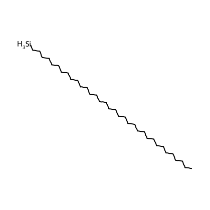 CCCCCCCCCCCCCCCCCCCCCCCCCCCCCCCCCC[SiH3]